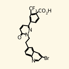 O=C(O)c1ccc(-c2ccc(=O)n(CCc3ccc4ncc(Br)cc4c3)n2)cc1C(F)(F)F